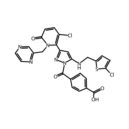 O=C(O)c1ccc(C(=O)n2nc(-c3c(Cl)ccc(=O)n3Cc3cnccn3)cc2NCc2ccc(Cl)s2)cc1